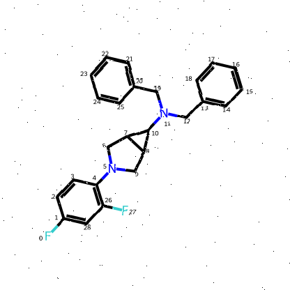 Fc1ccc(N2CC3C(C2)C3N(Cc2ccccc2)Cc2ccccc2)c(F)c1